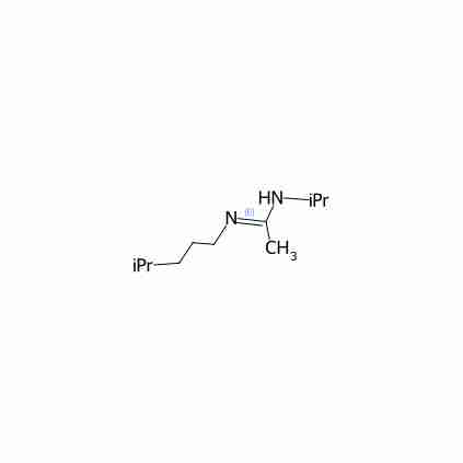 C/C(=N\CCCC(C)C)NC(C)C